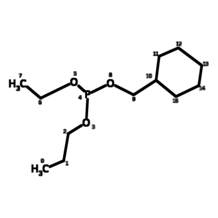 CCCOP(OCC)OCC1CCCCC1